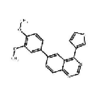 COc1ccc(-c2ccc3ncnc(-c4ccsc4)c3c2)cc1OC